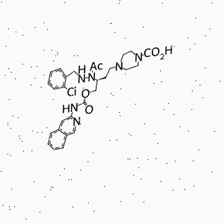 CC(=O)N(NCc1ccccc1Cl)[C@@H](CCN1CCN(C(=O)O)CC1)COC(=O)Nc1cc2ccccc2cn1